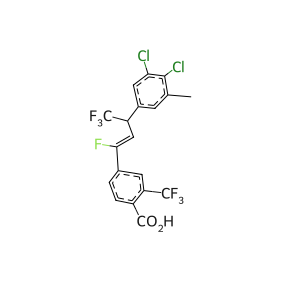 Cc1cc(C(C=C(F)c2ccc(C(=O)O)c(C(F)(F)F)c2)C(F)(F)F)cc(Cl)c1Cl